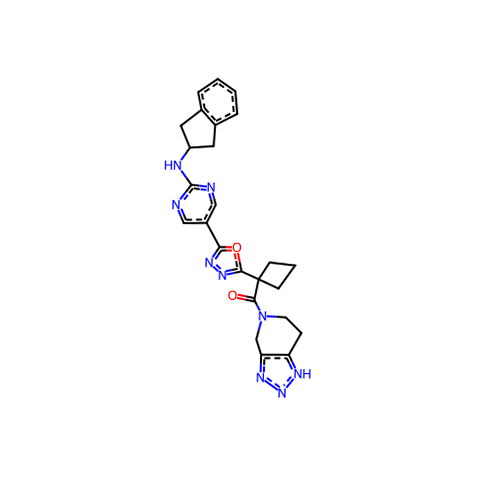 O=C(N1CCc2[nH]nnc2C1)C1(c2nnc(-c3cnc(NC4Cc5ccccc5C4)nc3)o2)CCC1